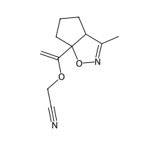 C=C(OCC#N)C12CCCC1C(C)=NO2